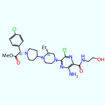 CC[C@H]1CN(c2nc(N)c(C(=O)NCCO)nc2Cl)CCN1C1CCN([C@H](C(=O)OC)c2ccc(Cl)cc2)CC1